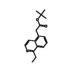 CCc1nccc2c(CC(=O)OC(C)(C)C)cccc12